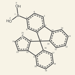 OB(O)c1ccc2c(c1)C1(c3ccccc3-2)c2ccccc2-c2ccsc21